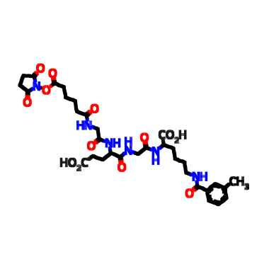 Cc1cccc(C(=O)NCCCCC(NC(=O)CNC(=O)C(CCC(=O)O)NC(=O)CNC(=O)CCCCC(=O)ON2C(=O)CCC2=O)C(=O)O)c1